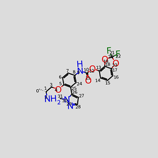 C[C@@H](N)COc1ccc(NC(=O)Oc2cccc3c2OC(F)(F)O3)cc1-c1ccnn1C